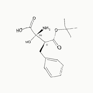 CC(C)(C)OC(=O)[C@@H](Cc1ccccc1)[C@](N)(O)C(=O)O